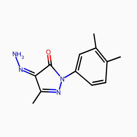 CC1=NN(c2ccc(C)c(C)c2)C(=O)/C1=N\N